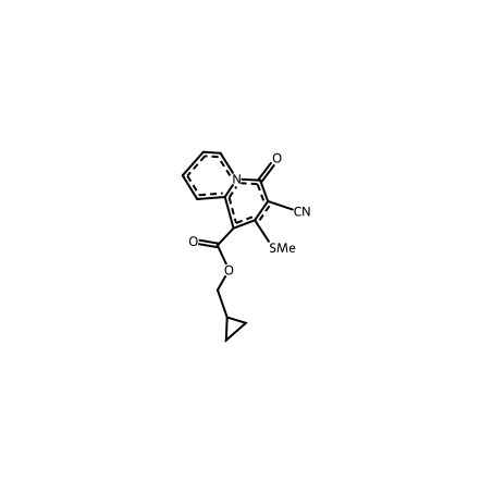 CSc1c(C#N)c(=O)n2ccccc2c1C(=O)OCC1CC1